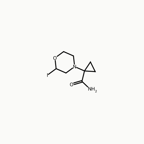 NC(=O)C1(N2CCOC(I)C2)CC1